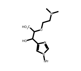 CCCn1cnc(C(O)C(OCCN(C)C)C(=O)O)c1